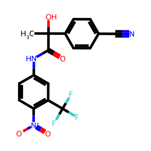 CC(O)(C(=O)Nc1ccc([N+](=O)[O-])c(C(F)(F)F)c1)c1ccc(C#N)cc1